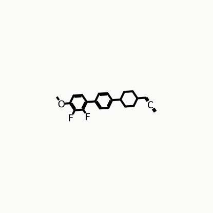 C=C=CC1CCC(c2ccc(-c3ccc(OC)c(F)c3F)cc2)CC1